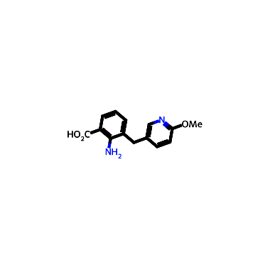 COc1ccc(Cc2cccc(C(=O)O)c2N)cn1